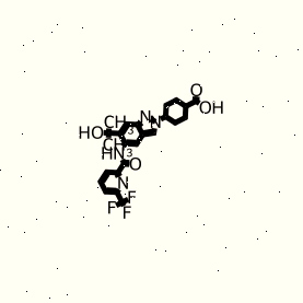 CC(C)(O)c1cc2nn(C3CCC(C(=O)O)CC3)cc2cc1NC(=O)c1cccc(C(F)(F)F)n1